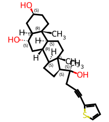 C[C@]12CC[C@H](O)C[C@@H]1[C@@H](O)C[C@@H]1[C@@H]2CC[C@@]2(C)[C@H]1CC[C@@H]2[C@@](C)(O)CC#Cc1cccs1